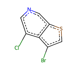 Clc1cncc2scc(Br)c12